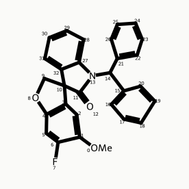 COc1cc2c(cc1F)OCC21C(=O)N(C(c2ccccc2)c2ccccc2)c2ccccc21